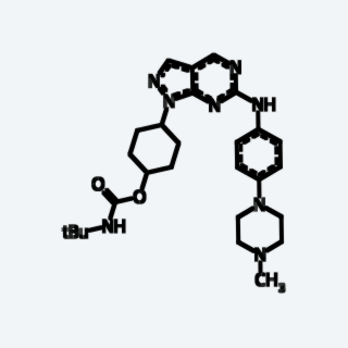 CN1CCN(c2ccc(Nc3ncc4cnn(C5CCC(OC(=O)NC(C)(C)C)CC5)c4n3)cc2)CC1